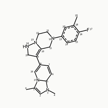 CC1=CN(C)C2C=CC(C3=C4CN(c5ccc(F)c(C)c5)CCN4NC3)=CN12